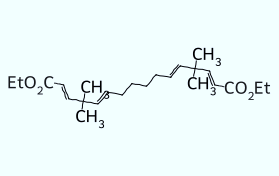 CCOC(=O)C=CC(C)(C)C=CCCCCC=CC(C)(C)C=CC(=O)OCC